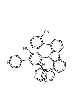 N#Cc1cc(-n2c3c(-c4ccccc4C#N)cccc3c3cccc(-c4ccccc4C#N)c32)c(-c2ccccc2)cc1-c1ccncc1